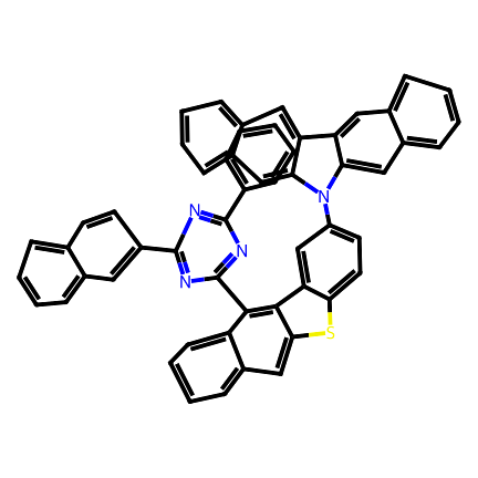 c1ccc(-c2nc(-c3ccc4ccccc4c3)nc(-c3c4ccccc4cc4sc5ccc(-n6c7cc8ccccc8cc7c7cc8ccccc8cc76)cc5c34)n2)cc1